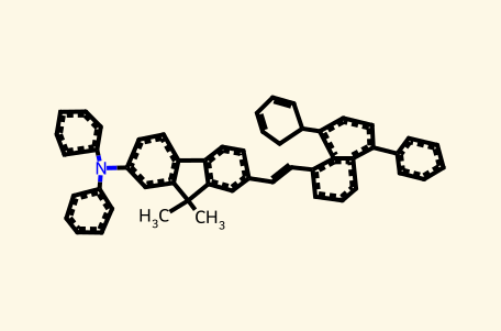 CC1(C)c2cc(/C=C/c3cccc4c(-c5ccccc5)ccc(C5C=CC=CC5)c34)ccc2-c2ccc(N(c3ccccc3)c3ccccc3)cc21